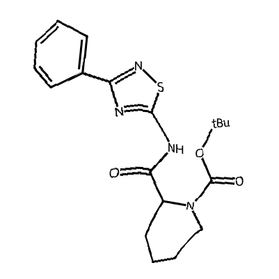 CC(C)(C)OC(=O)N1CCCCC1C(=O)Nc1nc(-c2ccccc2)ns1